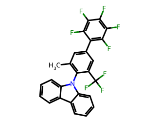 Cc1cc(-c2c(F)c(F)c(F)c(F)c2F)cc(C(F)(F)F)c1-n1c2ccccc2c2ccccc21